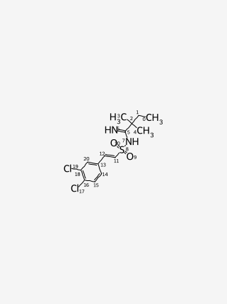 CCC(C)(C)C(=N)NS(=O)(=O)C=Cc1ccc(Cl)c(Cl)c1